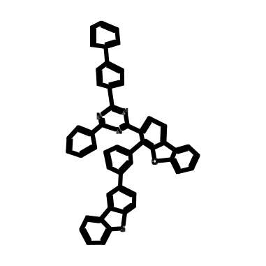 c1ccc(-c2ccc(-c3nc(-c4ccccc4)nc(-c4ccc5c(oc6ccccc65)c4-c4cccc(-c5ccc6sc7ccccc7c6c5)c4)n3)cc2)cc1